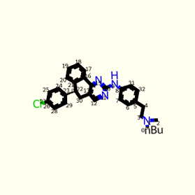 CCCCN(C)CCc1ccc(Nc2ncc3c(n2)-c2ccccc2[C@H](c2ccc(Cl)cc2)C3)cc1